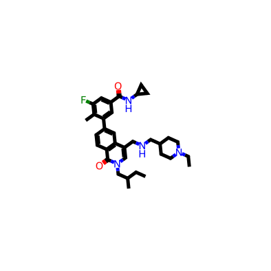 CCC(C)Cn1cc(CNCC2CCN(CC)CC2)c2cc(-c3cc(C(=O)NC4CC4)cc(F)c3C)ccc2c1=O